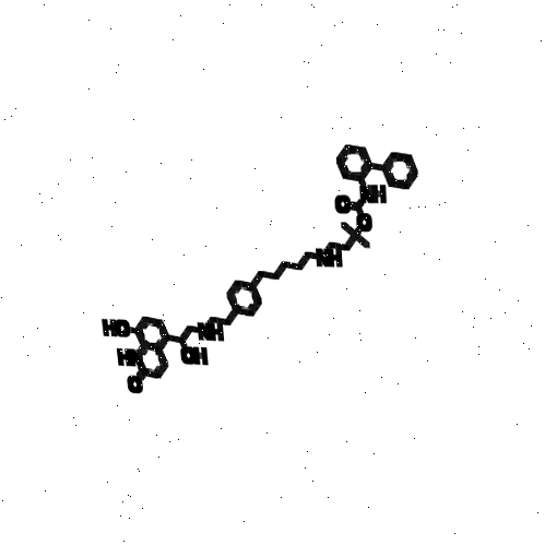 CC(C)(CCNCCCCCc1ccc(CCNCC(O)c2ccc(O)c3[nH]c(=O)ccc23)cc1)OC(=O)Nc1ccccc1-c1ccccc1